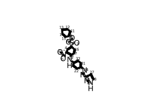 O=[N+]([O-])c1cc(S(=O)(=O)Oc2ccccc2)ccc1Nc1ccc(N=Nc2cc[nH]n2)cc1